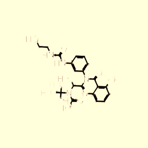 CC(c1nc2cccc(Cl)c2c(=O)n1-c1cccc(NC(=O)NCCO)c1)N(C(=O)O)C(C)(C)C